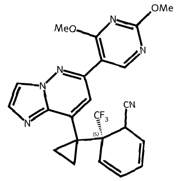 COc1ncc(-c2cc(C3([C@]4(C(F)(F)F)C=CC=CC4C#N)CC3)c3nccn3n2)c(OC)n1